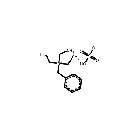 CC[N+](CC)(CC)Cc1ccccc1.O=S(=O)([O-])O